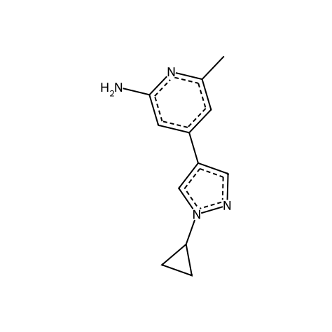 Cc1cc(-c2cnn(C3CC3)c2)cc(N)n1